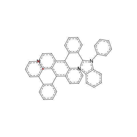 c1ccc(-n2c(-c3ccccc3-c3c4ccccc4c(-c4ccccc4-c4cccnc4)c4ccccc34)nc3ccccc32)cc1